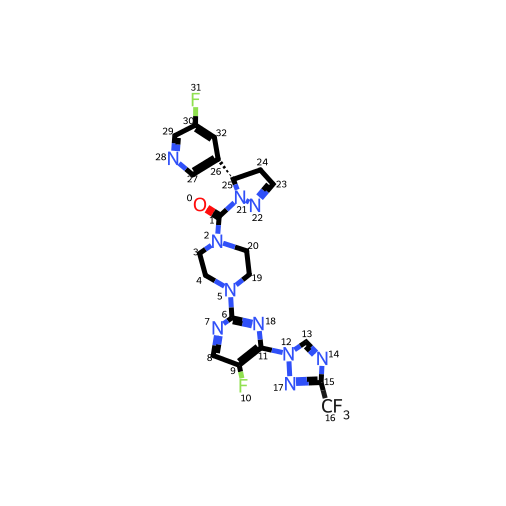 O=C(N1CCN(c2ncc(F)c(-n3cnc(C(F)(F)F)n3)n2)CC1)N1N=CC[C@H]1c1cncc(F)c1